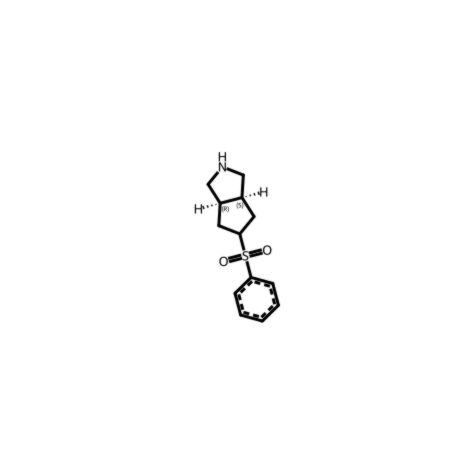 O=S(=O)(c1ccccc1)C1C[C@H]2CNC[C@H]2C1